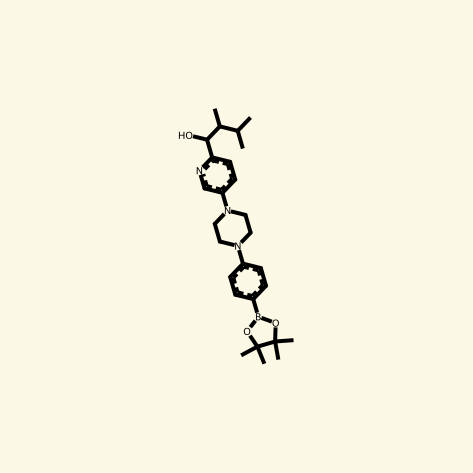 CC(C)C(C)C(O)c1ccc(N2CCN(c3ccc(B4OC(C)(C)C(C)(C)O4)cc3)CC2)cn1